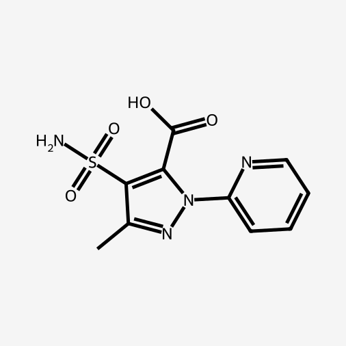 Cc1nn(-c2ccccn2)c(C(=O)O)c1S(N)(=O)=O